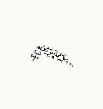 COc1ccc(S(=O)(=O)N2CCC3(CC2)CNC3OC(=O)C(F)(F)F)cc1